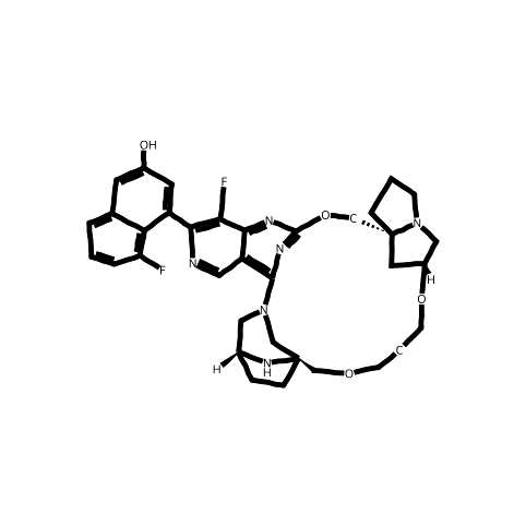 Oc1cc(-c2ncc3c4nc(nc3c2F)OC[C@]23CCCN2C[C@@H](C3)OCCCOC[C@]23CC[C@H](CN4C2)N3)c2c(F)cccc2c1